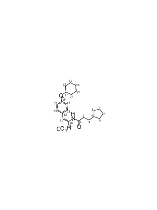 O=C(CCC1CCCC1)N/C(=C\c1ccc(OC2CCCCC2)cc1)C(=O)O